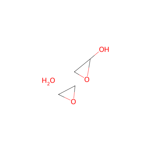 C1CO1.O.OC1CO1